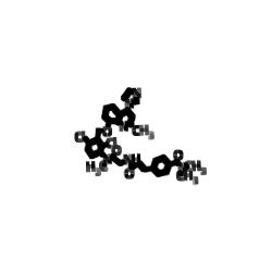 Cc1cc(-n2ccnc2)c2cccc(OCc3c(Cl)ccc(N(C)C(=O)CNC(=O)C=Cc4ccc(C(=O)N(C)C)cc4)c3Cl)c2n1